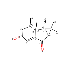 C[C@@H]1CC(=O)C=C2C(=O)C3[C@H](C3(C)C)[C@]21C